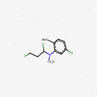 COc1ccc(Cl)cc1N(C(=O)O)C(Cl)CCCl